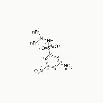 CCCN(CCC)NS(=O)(=O)c1cc([N+](=O)[O-])cc([N+](=O)[O-])c1